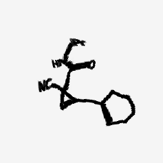 CC(C)NC(=O)C1(C#N)C=C1C1=CCCCC1